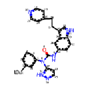 CC(C)(C)c1cccc(N(C(=O)Nc2ccc3[nH]cc(CCc4ccncc4)c3c2)c2ccn[nH]2)c1